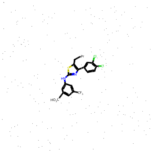 CC(C)Cc1sc(Nc2cc(C(=O)O)cc(C(F)(F)F)c2)nc1-c1ccc(Cl)c(Cl)c1